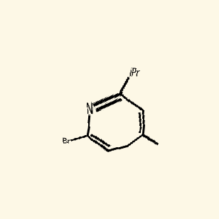 Cc1cc(Br)nc(C(C)C)c1